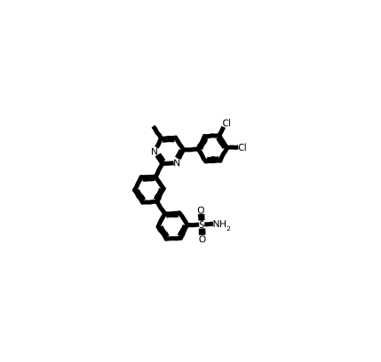 Cc1cc(-c2ccc(Cl)c(Cl)c2)nc(-c2cccc(-c3cccc(S(N)(=O)=O)c3)c2)n1